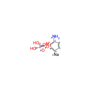 Nc1cc[c]([Na])cc1.O.O=P(O)(O)O